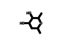 CC1CC(O)C(O)C(C)O1